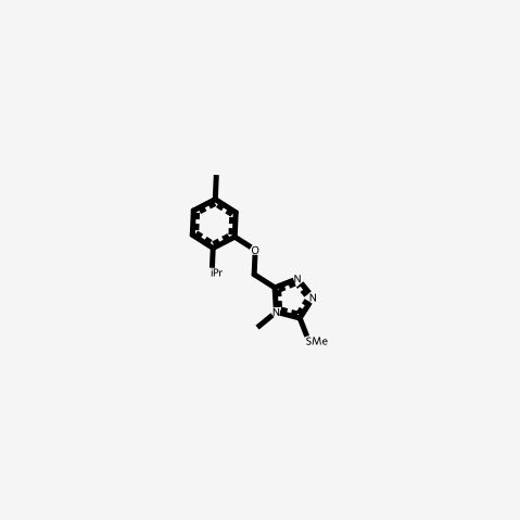 CSc1nnc(COc2cc(C)ccc2C(C)C)n1C